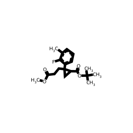 COC(=O)CCC1(c2cccc(C)c2F)CC1C(=O)OC(C)(C)C